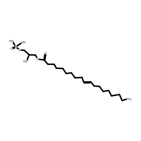 CCCCCCCCC=CCCCCCCCCC(=O)OCC(O)COP(=O)(O)O